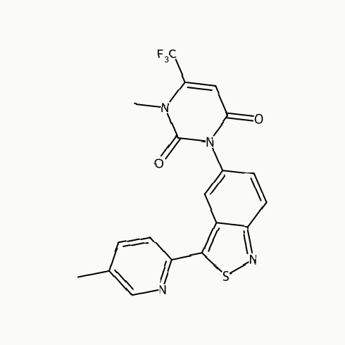 Cc1ccc(-c2snc3ccc(-n4c(=O)cc(C(F)(F)F)n(C)c4=O)cc23)nc1